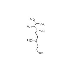 CCCCCCCCCCCCC(O)C=CC(O)C(N)C(OC(C)=O)C(C)=O